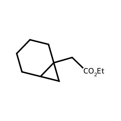 CCOC(=O)CC12CCCCC1C2